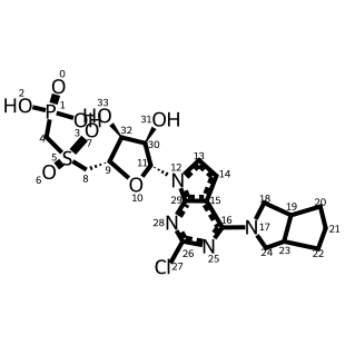 O=P(O)(O)CS(=O)(=O)C[C@H]1O[C@@H](n2ccc3c(N4CC5CCCC5C4)nc(Cl)nc32)[C@H](O)[C@@H]1O